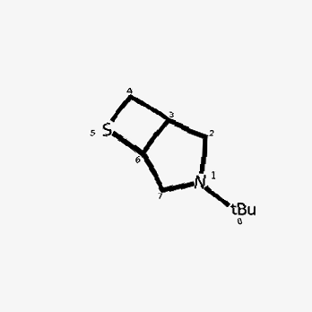 CC(C)(C)N1CC2CSC2C1